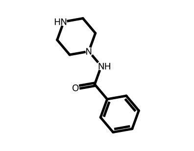 O=C(NN1CCNCC1)c1ccccc1